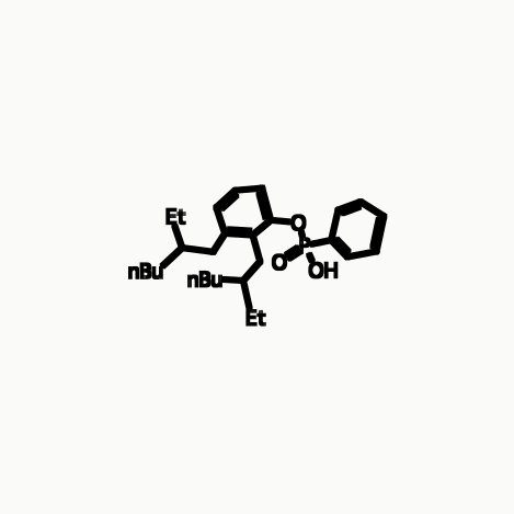 CCCCC(CC)Cc1cccc(OP(=O)(O)c2ccccc2)c1CC(CC)CCCC